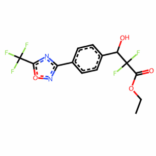 CCOC(=O)C(F)(F)C(O)c1ccc(-c2noc(C(F)(F)F)n2)cc1